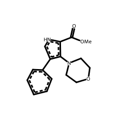 COC(=O)c1[nH]cc(-c2ccccc2)c1N1CCOCC1